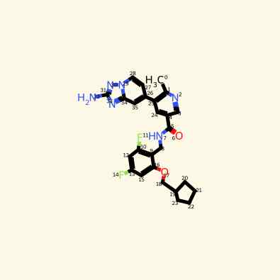 Cc1ncc(C(=O)NCc2c(F)cc(F)cc2OCC2CCCC2)cc1-c1ccn2nc(N)nc2c1